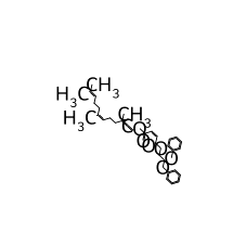 CC(=C=COC(=O)/C=C\C(=O)OCC(Oc1ccccc1)Oc1ccccc1)CCC=C(C)CCC=C(C)C